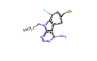 Nc1ncnc2c1c1cc(Br)cc(F)c1n2CC(=O)O